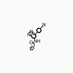 N#Cc1ccc(-c2cc(NC(=O)CN3CCC3)cc3ncnn23)cc1